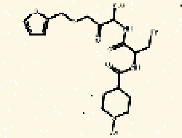 CCCCC(NC(=O)C(CC(C)C)NC(=O)C1CCN(C(C)=O)CC1)C(=O)CSCc1ccco1